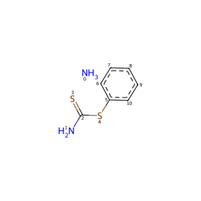 N.NC(=S)Sc1ccccc1